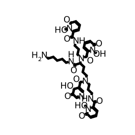 NCCCCCNC(=O)C(CCCN(CCCNC(=O)c1cccc(=O)n1O)C(=O)C1=CN=CC(=O)C1O)N(CCCNC(=O)c1cccc(=O)n1O)C(=O)c1cccc(=O)n1O